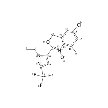 CCn1nc(C(F)(F)F)cc1C1=[N+]([O-])c2c(C)cc(Cl)cc2CO1